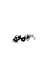 Cn1cnnc1CC1(c2cccc(OC(N)=O)c2)CC1